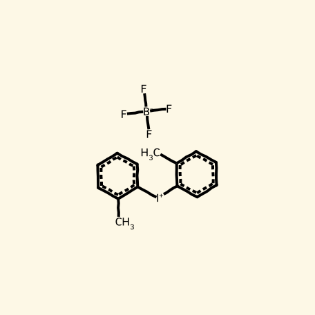 Cc1ccccc1[I+]c1ccccc1C.F[B-](F)(F)F